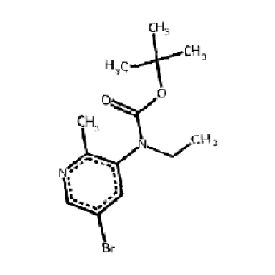 CCN(C(=O)OC(C)(C)C)c1cc(Br)cnc1C